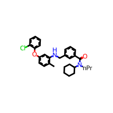 CCCN(C(=O)c1cccc(CNc2cc(Oc3ccccc3Cl)ccc2C)c1)C1CCCCC1